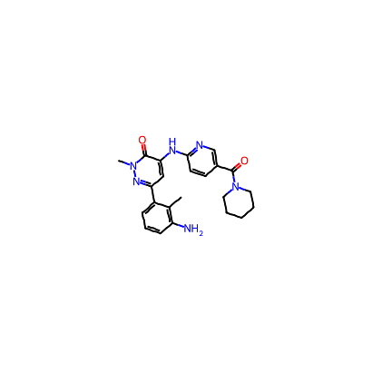 Cc1c(N)cccc1-c1cc(Nc2ccc(C(=O)N3CCCCC3)cn2)c(=O)n(C)n1